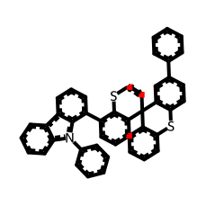 c1ccc(-c2ccc3c(c2)C2(c4ccccc4S3)c3ccccc3Sc3c(-c4cccc5c6ccccc6n(-c6ccccc6)c45)cccc32)cc1